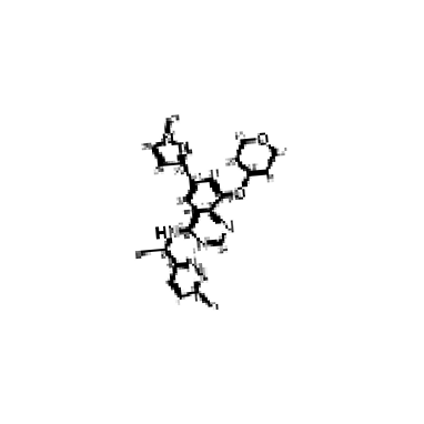 Cc1ccc([C@@H](C)Nc2ncnc3c(OC4CCOCC4)cc(-c4ccn(C)n4)cc23)nn1